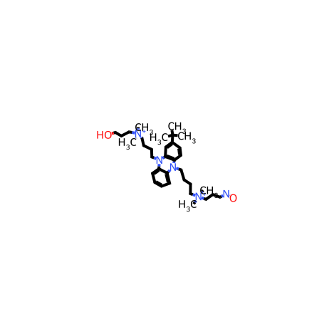 CC(C)(C)c1ccc2c(c1)N(CCCC[N+](C)(C)CCCO)c1ccccc1N2CCCC[N+](C)(C)CCCN=O